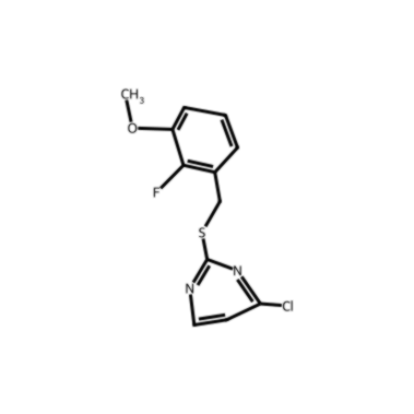 COc1cccc(CSc2nccc(Cl)n2)c1F